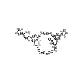 O=C(Nc1cc2ccc1C(=O)OCCOCCOC(=O)c1ccc(cc1NC(=O)c1ccc(-n3ccnc3)nn1)OCCCCO2)c1ccc(-n2ccnc2)nn1